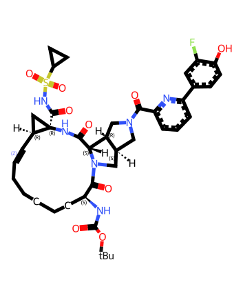 CC(C)(C)OC(=O)N[C@H]1CCCCC/C=C\[C@H]2C[C@@]2(C(=O)NS(=O)(=O)C2CC2)NC(=O)[C@@H]2[C@H]3CN(C(=O)c4cccc(-c5ccc(O)c(F)c5)n4)C[C@H]3CN2C1=O